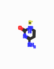 NC1=NC(=O)[NH+]([S-])C=C1